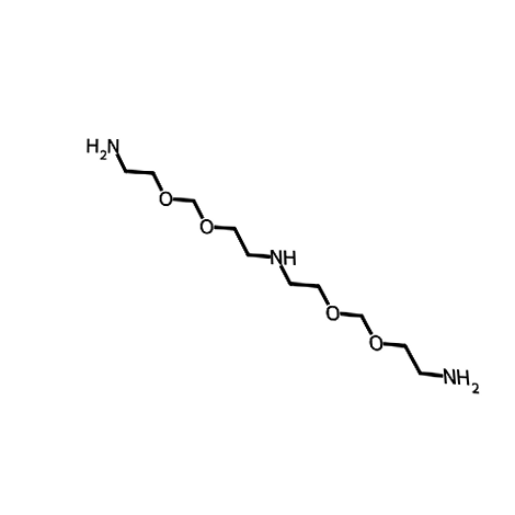 NCCOCOCCNCCOCOCCN